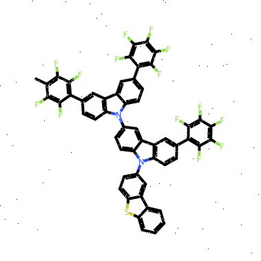 Cc1c(F)c(F)c(-c2ccc3c(c2)c2cc(-c4c(F)c(F)c(F)c(F)c4F)ccc2n3-c2ccc3c(c2)c2cc(-c4c(F)c(F)c(F)c(F)c4F)ccc2n3-c2ccc3sc4ccccc4c3c2)c(F)c1F